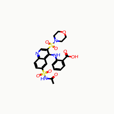 CC(=O)NS(=O)(=O)c1ccc2ncc(S(=O)(=O)N3CCOCC3)c(Nc3ccccc3C(=O)O)c2c1